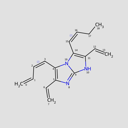 C=C/C=C\c1c(C=C)nc2[nH]c(C=C)c(/C=C\CC)n12